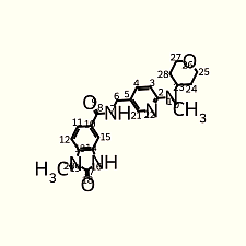 CN(c1ccc(CNC(=O)c2ccc3c(c2)[nH]c(=O)n3C)cn1)C1CCOCC1